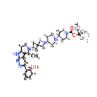 C[C@@H]1c2c([nH]c3nnc(-c4ccccc4O)cc23)CCN1C1CC2(C1)CN(C1CCN(C3CCN(C(=O)OC(C)(C)C)CC3)CC1)C2